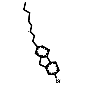 CCCCC[CH]CCc1ccc2c(c1)Cc1cc(Br)ccc1-2